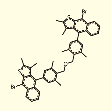 Cc1cc(-c2c3ccccc3c(Br)c3sc(C)c(C)c23)cc(C)c1COCc1c(C)cc(-c2c3ccccc3c(Br)c3sc(C)c(C)c23)cc1C